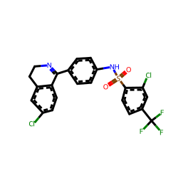 O=S(=O)(Nc1ccc(C2=NCCc3cc(Cl)ccc32)cc1)c1ccc(C(F)(F)F)cc1Cl